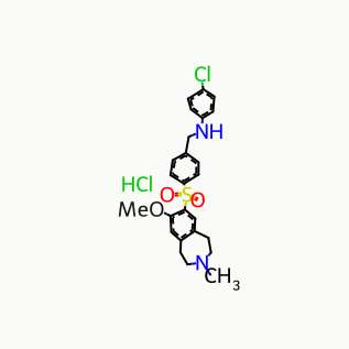 COc1cc2c(cc1S(=O)(=O)c1ccc(CNc3ccc(Cl)cc3)cc1)CCN(C)CC2.Cl